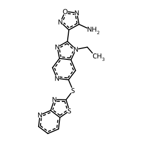 CCn1c(-c2nonc2N)nc2cnc(Sc3nc4ncccc4s3)cc21